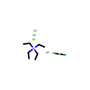 CC[N+](CC)(CC)CC.F.F.F.F.F[H-]F